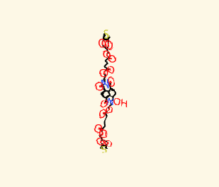 CC12C=CC3=C4C(=CC=C(C(=O)N(CCOC(=O)CCCC(=O)OCC5COc6cscc6O5)C1=O)C42)C(O)N(CCOC(=O)CCCC(=O)OCC1COc2cscc2O1)C3=O